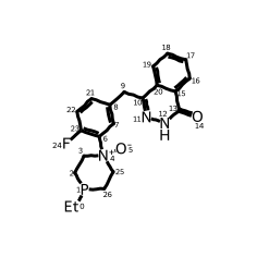 CCP1CC[N+]([O-])(c2cc(Cc3n[nH]c(=O)c4ccccc34)ccc2F)CC1